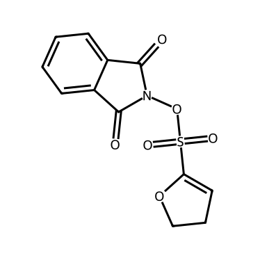 O=C1c2ccccc2C(=O)N1OS(=O)(=O)C1=CCCO1